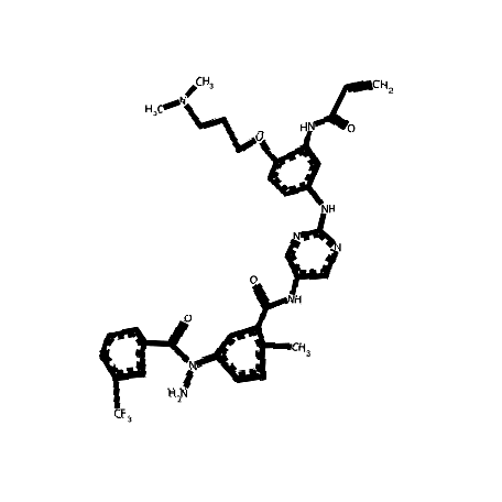 C=CC(=O)Nc1cc(Nc2ncc(NC(=O)c3cc(N(N)C(=O)c4cccc(C(F)(F)F)c4)ccc3C)cn2)ccc1OCCCN(C)C